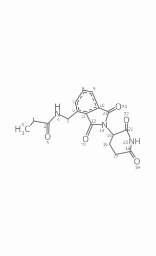 CCC(=O)NCc1cccc2c1C(=O)N(C1CCC(=O)NC1=O)C2=O